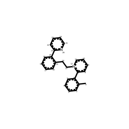 Cc1ccccc1-c1cccc[n+]1CCc1ccccc1-c1ccccn1